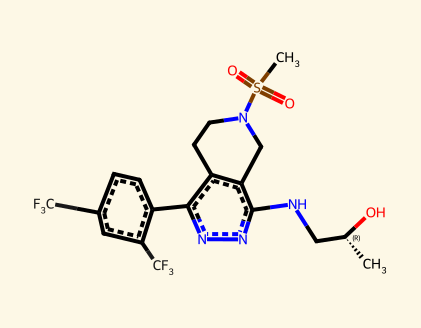 C[C@@H](O)CNc1nnc(-c2ccc(C(F)(F)F)cc2C(F)(F)F)c2c1CN(S(C)(=O)=O)CC2